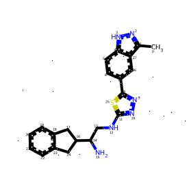 Cc1n[nH]c2ccc(-c3nnc(NCC(N)C4Cc5ccccc5C4)s3)cc12